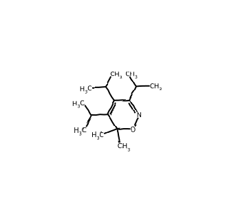 CC(C)C1=NOC(C)(C)C(C(C)C)=C1C(C)C